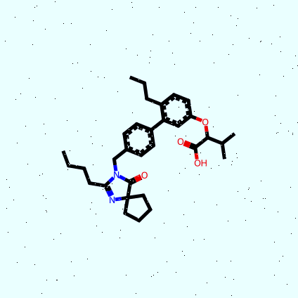 CCCCC1=NC2(CCCC2)C(=O)N1Cc1ccc(-c2cc(OC(C(=O)O)C(C)C)ccc2CCC)cc1